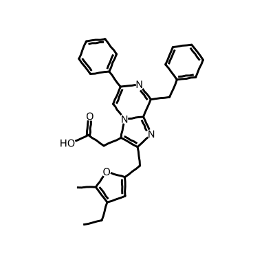 CCc1cc(Cc2nc3c(Cc4ccccc4)nc(-c4ccccc4)cn3c2CC(=O)O)oc1C